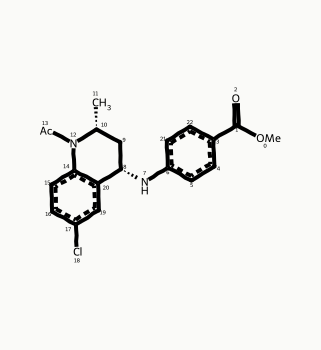 COC(=O)c1ccc(N[C@H]2C[C@@H](C)N(C(C)=O)c3ccc(Cl)cc32)cc1